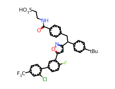 CC(C)(C)c1ccc(C(Cc2ccc(C(=O)NCCS(=O)(=O)O)cc2)c2cc(-c3cc(-c4ccc(C(F)(F)F)cc4Cl)ccc3F)on2)cc1